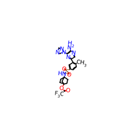 Cc1ccc(S(=O)(=O)NC23CCC(OC(=O)C(F)(F)F)(CC2)C3)cc1-c1cnc(N)c(-n2cncn2)n1